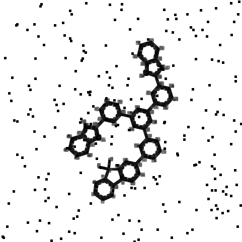 CC1(C)c2ccccc2-c2ccc(-c3cccc(-c4cc(-c5cccc(-c6nc7ccccc7o6)c5)cc(-c5cccc(-c6nc7ccccc7o6)c5)c4)c3)cc21